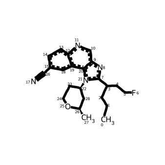 CCCC(CCF)c1nc2cnc3ccc(C#N)cc3c2n1[C@@H]1CCO[C@H](C)C1